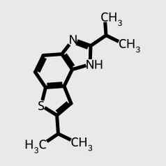 CC(C)c1nc2ccc3sc(C(C)C)cc3c2[nH]1